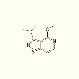 COc1nccc2snc(C(C)C)c12